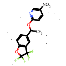 O=[N+]([O-])c1ccc(OC(c2ccc3c(c2)C(F)(F)C(F)(F)O3)C(F)(F)F)nc1